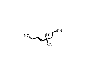 CCCC(C#N)(/C=C/CC#N)CCC#N